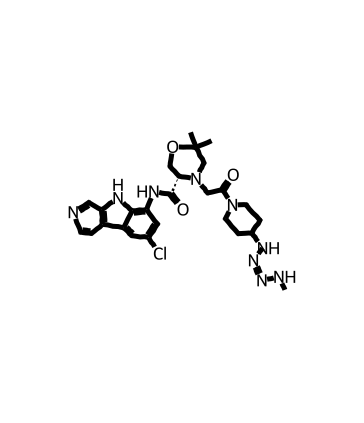 CN/N=N\NC1CCN(C(=O)CN2CC(C)(C)OC[C@H]2C(=O)Nc2cc(Cl)cc3c2[nH]c2cnccc23)CC1